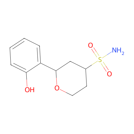 NS(=O)(=O)C1CCOC(c2ccccc2O)C1